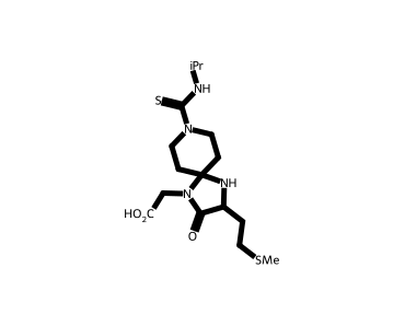 CSCCC1NC2(CCN(C(=S)NC(C)C)CC2)N(CC(=O)O)C1=O